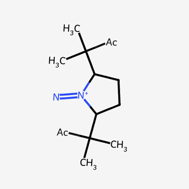 CC(=O)C(C)(C)C1CCC(C(C)(C)C(C)=O)[N+]1=[N-]